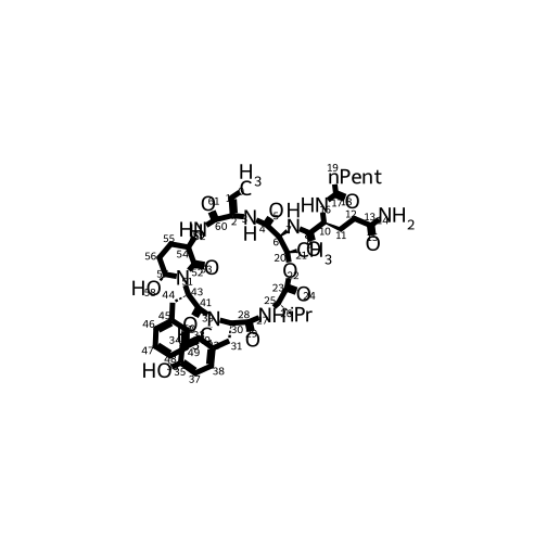 C/C=C1\NC(=O)[C@@H](NC(=O)[C@H](CCC(N)=O)NC(=O)CCCCC)[C@@H](C)OC(=O)[C@H](C(C)C)NC(=O)[C@H](Cc2ccc(O)cc2)N(C)C(=O)[C@H](Cc2ccccc2)N2C(=O)[C@H](CC[C@H]2O)NC1=O